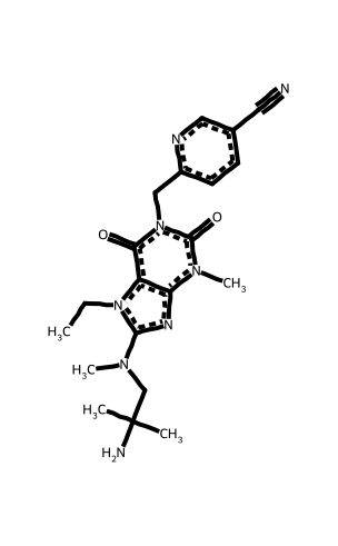 CCn1c(N(C)CC(C)(C)N)nc2c1c(=O)n(Cc1ccc(C#N)cn1)c(=O)n2C